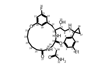 CCc1cccc(C2(NC[C@@H](O)[C@@H]3Cc4cc(F)cc(c4)OCCCCCC(=O)N[C@@H](CC(N)=O)C(=O)N3)CC2)c1